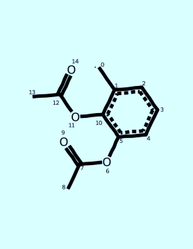 [CH2]c1cccc(OC(C)=O)c1OC(C)=O